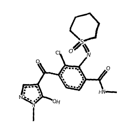 CNC(=O)c1ccc(C(=O)c2cnn(C)c2O)c(Cl)c1N=S1(=O)CCCCC1